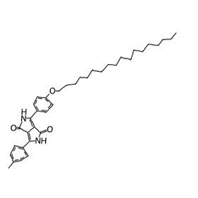 CCCCCCCCCCCCCCCCCCOc1ccc(C2=C3C(=O)NC(c4ccc(C)cc4)=C3C(=O)N2)cc1